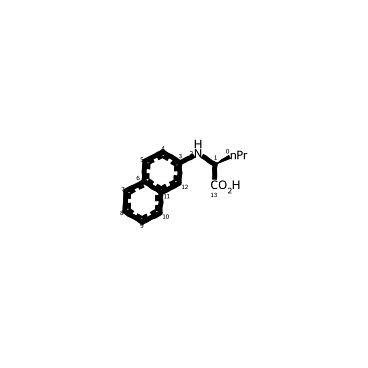 CCC[C@H](Nc1ccc2ccccc2c1)C(=O)O